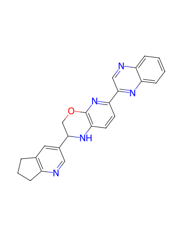 c1ccc2nc(-c3ccc4c(n3)OCC(c3cnc5c(c3)CCC5)N4)cnc2c1